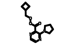 O=C(OOCC1CCC1)c1nccnc1N1CCCC1